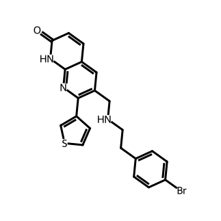 O=c1ccc2cc(CNCCc3ccc(Br)cc3)c(-c3ccsc3)nc2[nH]1